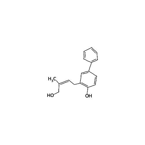 C/C(=C/Cc1cc(-c2ccccc2)ccc1O)CO